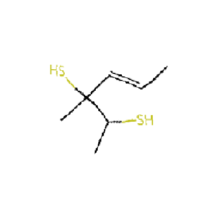 CC=CC(C)(S)C(C)S